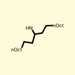 CCCCCCCCCCC([NH])CCCCCCCCCC